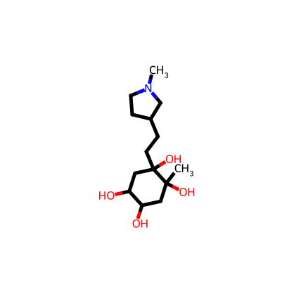 CN1CCC(CCC2(O)CC(O)C(O)CC2(C)O)C1